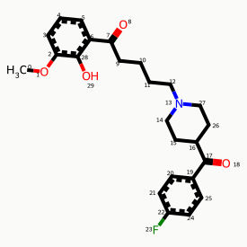 COc1cccc(C(=O)CCCCN2CCC(C(=O)c3ccc(F)cc3)CC2)c1O